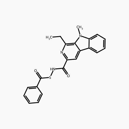 CCc1nc(C(=O)NSC(=O)c2ccccc2)cc2c3ccccc3n(C)c12